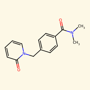 CN(C)C(=O)c1ccc(Cn2ccccc2=O)cc1